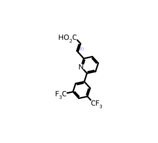 O=C(O)/C=C/c1cccc(-c2cc(C(F)(F)F)cc(C(F)(F)F)c2)n1